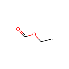 [CH2]COC=O